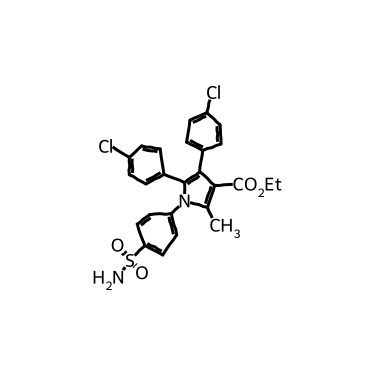 CCOC(=O)c1c(-c2ccc(Cl)cc2)c(-c2ccc(Cl)cc2)n(-c2ccc(S(N)(=O)=O)cc2)c1C